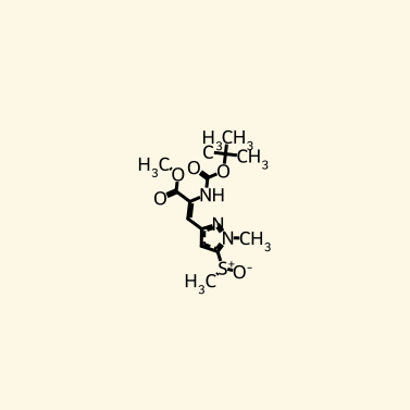 COC(=O)C(=Cc1cc([S+](C)[O-])n(C)n1)NC(=O)OC(C)(C)C